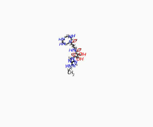 CCCNc1ncnc2c1ncn2[C@@H]1O[C@H](C(=O)NCCCCC(=O)N2CCNCCNCCNCC2)[C@@H](O)[C@H]1O